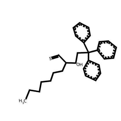 CCCCCCCC([C]=S)C(O)CC(c1ccccc1)(c1ccccc1)c1ccccc1